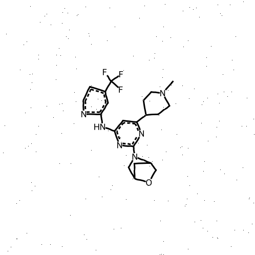 CN1CCC(c2cc(Nc3cc(C(F)(F)F)ccn3)nc(N3CC4CC3CO4)n2)CC1